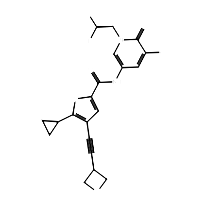 O=C(Nc1cc(F)c(=O)n(CC(F)F)c1)c1cc(C#CC2COC2)c(C2CC2)s1